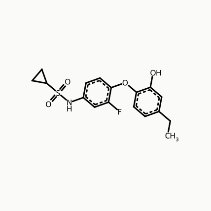 CCc1ccc(Oc2ccc(NS(=O)(=O)C3CC3)cc2F)c(O)c1